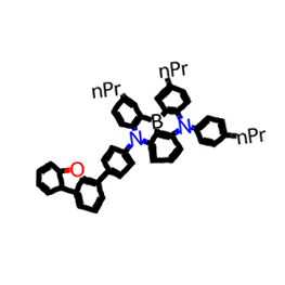 CCCc1ccc(N2c3ccc(CCC)cc3B3c4cc(CCC)ccc4N(c4ccc(-c5cccc6c5OC5C=CC=CC65)cc4)c4cccc2c43)cc1